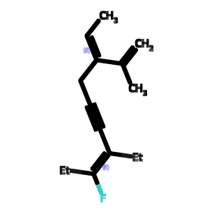 C=C(C)/C(=C\C)CC#C/C(CC)=C(/F)CC